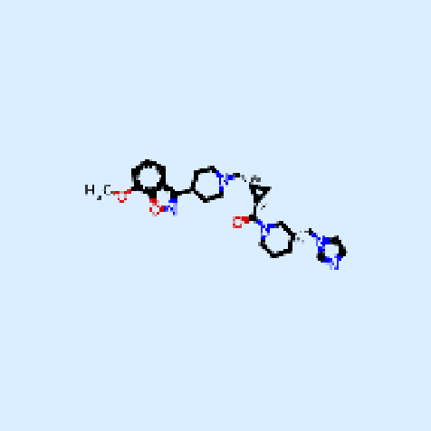 COc1cccc2c(C3CCN(C[C@@H]4C[C@H]4C(=O)N4CCC[C@@H](Cn5ccnc5)C4)CC3)noc12